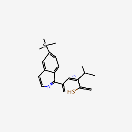 C=C(S)/C(=C\C(=C)c1nccc2cc([Si](C)(C)C)ccc12)C(C)C